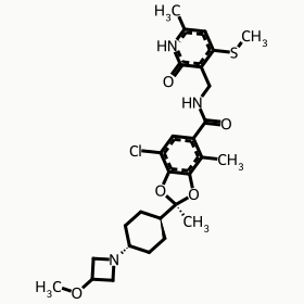 COC1CN([C@H]2CC[C@H]([C@@]3(C)Oc4c(Cl)cc(C(=O)NCc5c(SC)cc(C)[nH]c5=O)c(C)c4O3)CC2)C1